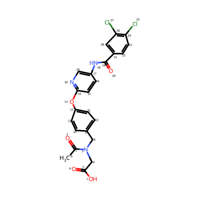 CC(=O)N(CC(=O)O)Cc1ccc(Oc2ccc(NC(=O)c3ccc(Cl)c(Cl)c3)cn2)cc1